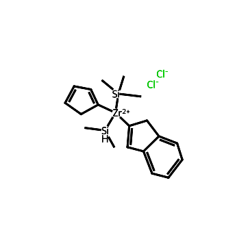 C[SiH](C)[Zr+2]([C]1=CC=CC1)([C]1=Cc2ccccc2C1)[Si](C)(C)C.[Cl-].[Cl-]